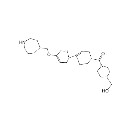 O=C(C1CC=C(C2C=CC(OCC3CCCNCC3)=CC2)CC1)N1CCC(CO)CC1